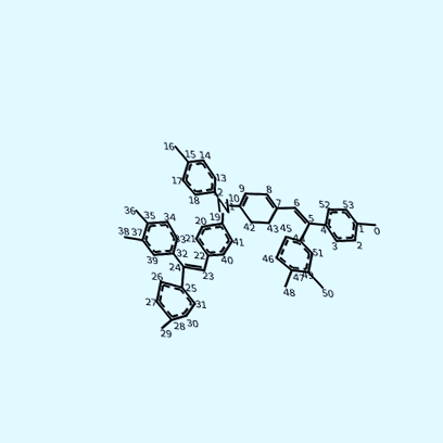 Cc1ccc(C(=CC2=CC=C(N(c3ccc(C)cc3)c3ccc(C=C(c4ccc(C)cc4)c4ccc(C)c(C)c4)cc3)CC2)c2ccc(C)c(C)c2)cc1